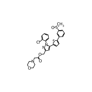 C[S+]([O-])c1cccc(-c2ccc(-c3cc(COC(=O)CN4CCOCC4)nn3-c3ccccc3Cl)s2)c1